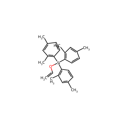 C=CO[Si](c1ccc(C)cc1C)(c1ccc(C)cc1C)c1ccc(C)cc1C